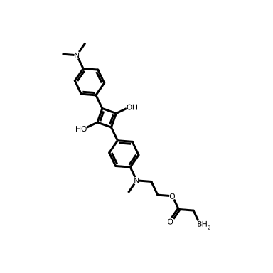 BCC(=O)OCCN(C)c1ccc(C2=C(O)C(c3ccc(N(C)C)cc3)=C2O)cc1